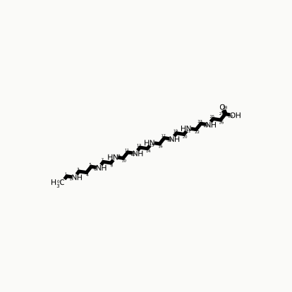 CCNCCCNCCNCCNCCNCCNCCNCCNCCC(=O)O